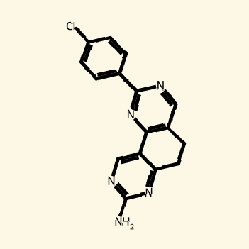 Nc1ncc2c(n1)CCc1cnc(-c3ccc(Cl)cc3)nc1-2